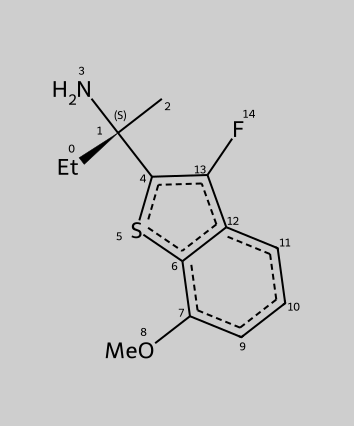 CC[C@](C)(N)c1sc2c(OC)cccc2c1F